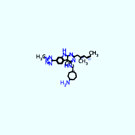 C/C=C\C=C(/C)CC1=NC2Nc3cc(-c4nnn(C)n4)ccc3C2(C)C(NC[C@H]2CCCC(N)CC2)=N1